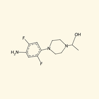 CC(O)N1CCN(c2cc(F)c(N)cc2F)CC1